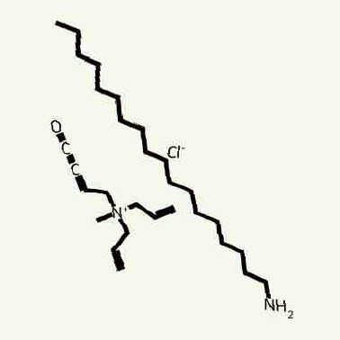 C=CC[N+](C)(CC=C)CC=C=C=O.CCCCCCCCCCCCCCCCCCN.[Cl-]